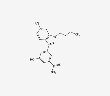 NC(=S)c1cc(O)cc(-c2cn(CCCC(F)(F)F)c3cc(N)ccc23)c1